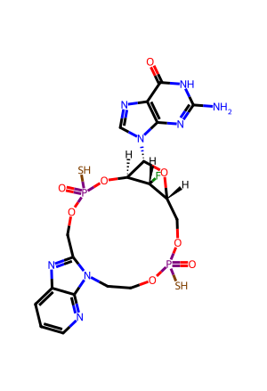 Nc1nc2c(ncn2[C@@H]2O[C@@H]3COP(=O)(S)OCCn4c(nc5cccnc54)COP(=O)(S)O[C@@H]2[C@@H]3F)c(=O)[nH]1